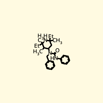 CCC1(C)CC(N(Cc2ccccc2)C(=O)Nc2ccccc2)C(C)C(C)(CC)N1